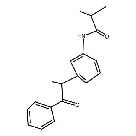 CC(C)C(=O)Nc1cccc(C(C)C(=O)c2ccccc2)c1